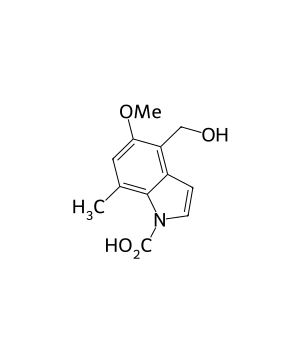 COc1cc(C)c2c(ccn2C(=O)O)c1CO